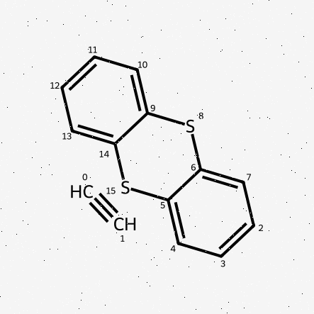 C#C.c1ccc2c(c1)Sc1ccccc1S2